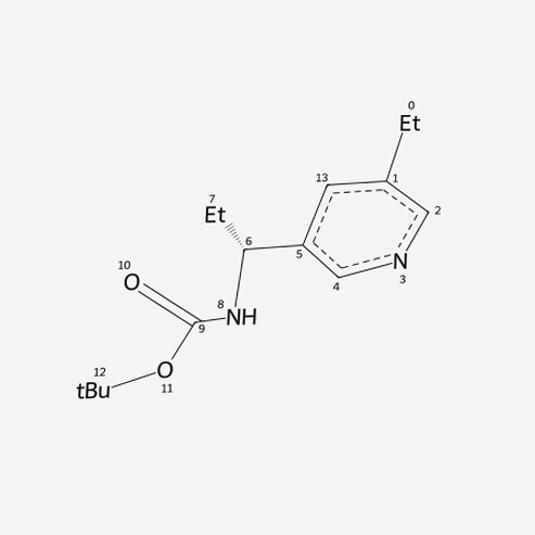 CCc1cncc([C@@H](CC)NC(=O)OC(C)(C)C)c1